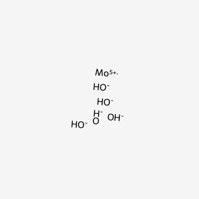 [Mo+5].[OH-].[OH-].[OH-].[OH-].[OH-]